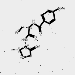 CNc1ccc(C(=O)N[C@@H](CC(C)C)C(=O)N[C@@H]2C(=O)CO[C@@H]2C)cc1